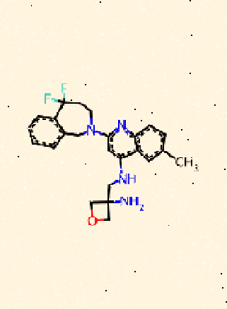 Cc1ccc2nc(N3CCC(F)(F)c4ccccc4C3)cc(NCC3(N)COC3)c2c1